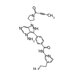 CC#CC(=O)N1CC[C@@H](N2NC(c3ccc(C(=O)Nc4cc(CCC)ccn4)cc3)=C3C2=CN=CN3N)C1